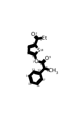 CCC(=O)c1ccc(OC(=O)C(C)c2ccccc2)s1